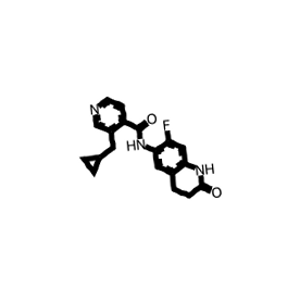 O=C1CCc2cc(NC(=O)c3ccncc3CC3CC3)c(F)cc2N1